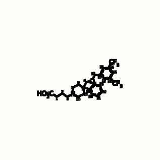 O=C(O)CCCN1CCC(COCc2cc(C(F)(F)F)cc(C(F)(F)F)c2)(c2ccccc2)CC1